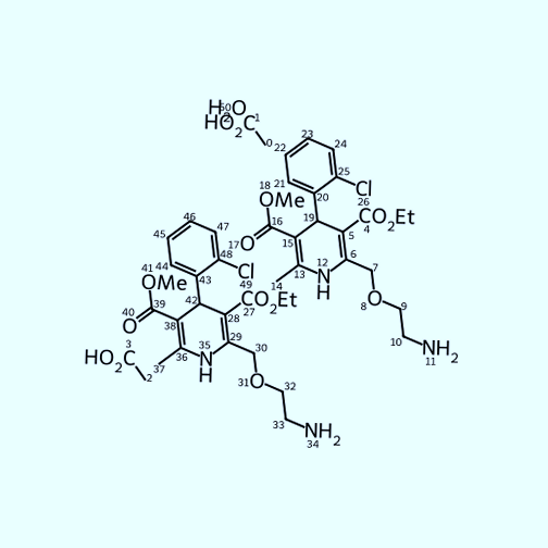 CC(=O)O.CC(=O)O.CCOC(=O)C1=C(COCCN)NC(C)=C(C(=O)OC)C1c1ccccc1Cl.CCOC(=O)C1=C(COCCN)NC(C)=C(C(=O)OC)C1c1ccccc1Cl.O